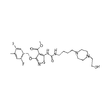 COC(=O)c1c(OCc2cc(F)c(C)cc2F)nsc1NC(=O)NCCCCN1CCN(CCO)CC1